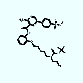 CNS(=O)(=O)c1ccc(-c2cnc(N)c(C(=O)Nc3ccccc3OCCOCCN(CCO)C(=O)OC(C)(C)C)n2)cc1